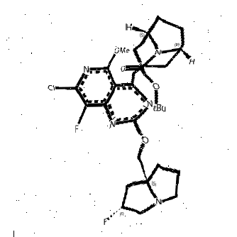 COc1nc(Cl)c(F)c2nc(OC[C@@]34CCCN3C[C@H](F)C4)nc(N3C[C@H]4CC[C@@H](C3)N4C(=O)OC(C)(C)C)c12